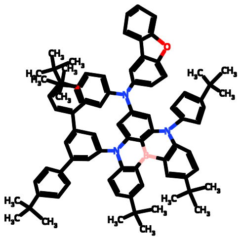 CC(C)(C)c1ccc(-c2cc(-c3ccc(C(C)(C)C)cc3)cc(N3c4ccc(C(C)(C)C)cc4B4c5cc(C(C)(C)C)ccc5N(c5ccc(C(C)(C)C)cc5)c5cc(N(c6ccc(C(C)(C)C)cc6)c6ccc7oc8ccccc8c7c6)cc3c54)c2)cc1